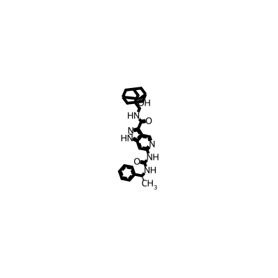 C[C@@H](NC(=O)Nc1cc2[nH]nc(C(=O)NCC34CC5CC(C3)C(O)C(C5)C4)c2cn1)c1ccccc1